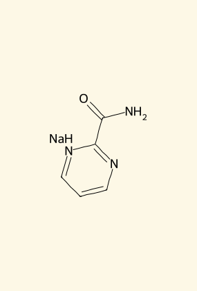 NC(=O)c1ncccn1.[NaH]